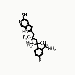 CC(C)(C[C@@](O)(Cc1cc2cc(S)ncc2[nH]1)C(F)(F)F)c1ccc(F)cc1C(N)=O